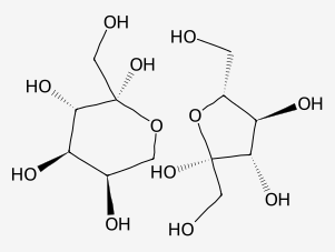 OC[C@@]1(O)OC[C@@H](O)[C@@H](O)[C@@H]1O.OC[C@H]1O[C@](O)(CO)[C@@H](O)[C@@H]1O